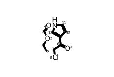 CCOC=O.O=C(CCl)c1cc[nH]c1